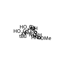 COc1ccc(NC(=NC#N)Nc2ccc(C(CC(C)C)C(=O)NC(CCCCC(NC(=O)CC(C)(C)C)C(=O)O)C(=O)O)cc2)cc1